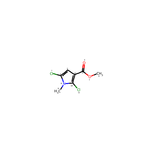 COC(=O)c1cc(Cl)n(C)c1Cl